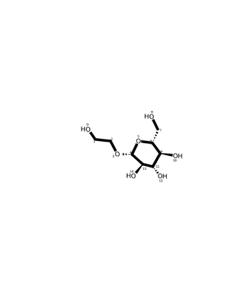 OCCO[C@@H]1O[C@H](CO)[C@@H](O)[C@H](O)[C@H]1O